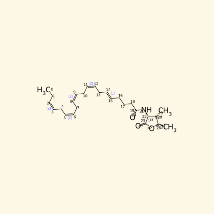 CC/C=C\C/C=C\C/C=C\C/C=C\C/C=C/CCCC(=O)N[C@@H]1C(=O)O[C@H](C)[C@H]1C